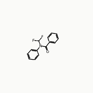 O=C(c1ccccc1)N(c1ccccc1)C(F)F